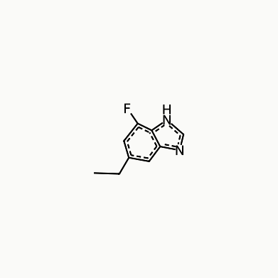 CCc1cc(F)c2[nH]cnc2c1